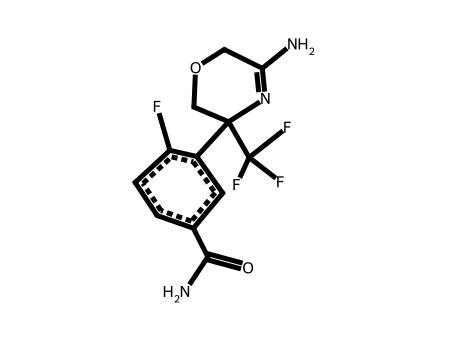 NC(=O)c1ccc(F)c(C2(C(F)(F)F)COCC(N)=N2)c1